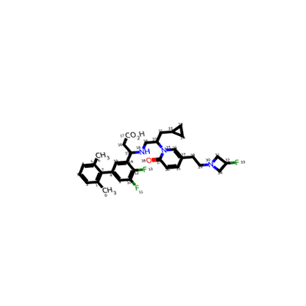 Cc1cccc(C)c1-c1cc(F)c(F)c(C(CC(=O)O)NCC(CC2CC2)n2cc(CCN3CC(F)C3)ccc2=O)c1